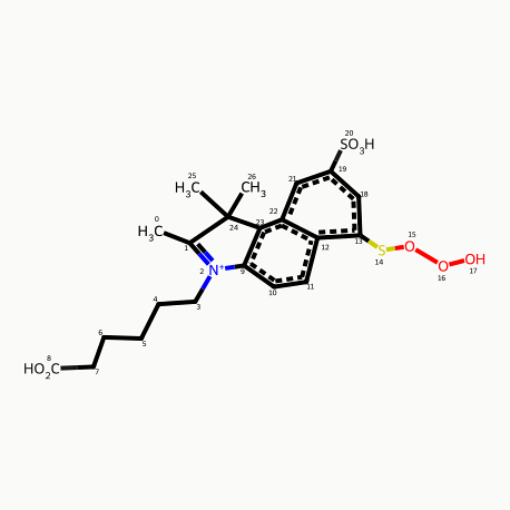 CC1=[N+](CCCCCC(=O)O)c2ccc3c(SOOO)cc(S(=O)(=O)O)cc3c2C1(C)C